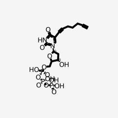 C#CCCCC#Cc1cn([C@H]2C[C@@H](O)C(COP(=O)(O)OP(=O)(O)OP(=O)(O)O)O2)c(=O)[nH]c1=O